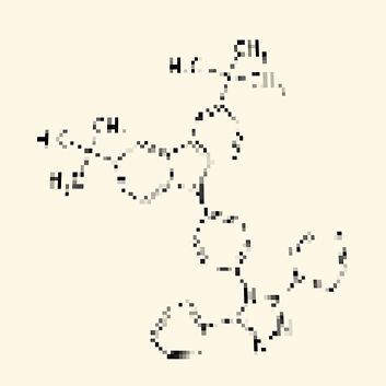 CC(C)(C)c1ccc2c(c1)c1cc(C(C)(C)C)ccc1n2-c1ccc(-n2c(-c3ccccc3)nnc2-c2ccccc2)cc1